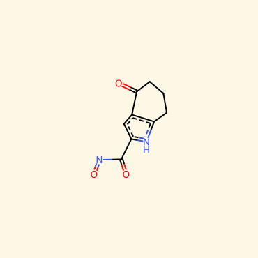 O=NC(=O)c1cc2c([nH]1)CCCC2=O